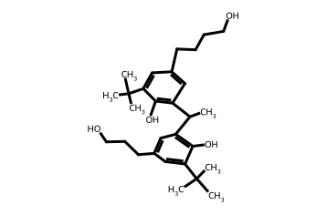 CC(c1cc(CCCO)cc(C(C)(C)C)c1O)c1cc(CCCCO)cc(C(C)(C)C)c1O